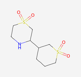 O=S1(=O)CCCC(C2CS(=O)(=O)CCN2)C1